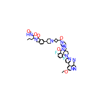 CCCC(C(=O)NC=O)N1Cc2ccc(C3CCN(C4CC(C(=O)N5CCN(CC6(NC(=O)c7cc(F)ccc7F)CCN(c7ccc(-c8cc(OCC)cn9ncc(C#N)c89)cn7)CC6)CC5)C4)CC3)cc2C1=O